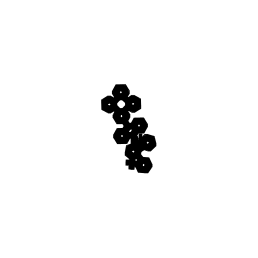 CC1(C)c2ccccc2-c2c1ccc1c2c2ccccc2n1-c1c2ccccc2c(-c2ccc3c(c2)-c2ccccc2-c2ccccc2-c2ccccc2-3)c2ccccc12